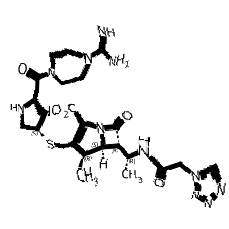 C[C@@H](NC(=O)Cn1cnnn1)[C@H]1C(=O)N2C(C(=O)O)=C(S[C@@H]3CNC(C(=O)N4CCN(C(=N)N)CC4)C3)[C@H](C)[C@H]12